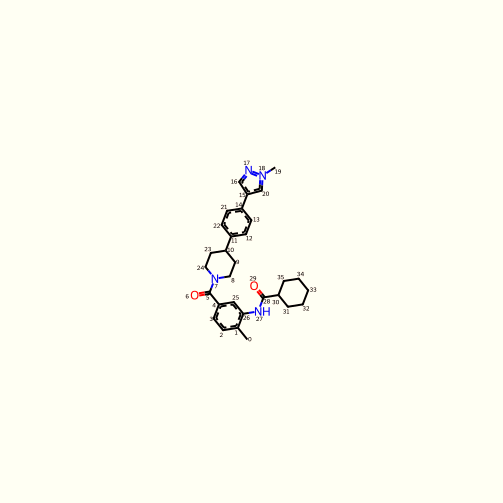 Cc1ccc(C(=O)N2CCC(c3ccc(-c4cnn(C)c4)cc3)CC2)cc1NC(=O)C1CCCCC1